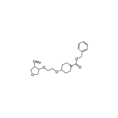 COC1COCC1OCCOC1CCN(C(=O)OCc2ccccc2)CC1